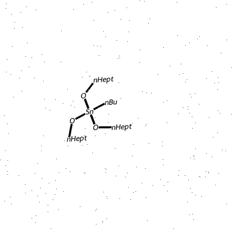 CCCCCCC[O][Sn]([CH2]CCC)([O]CCCCCCC)[O]CCCCCCC